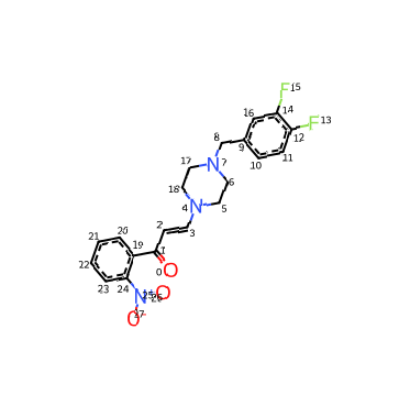 O=C(C=CN1CCN(Cc2ccc(F)c(F)c2)CC1)c1ccccc1[N+](=O)[O-]